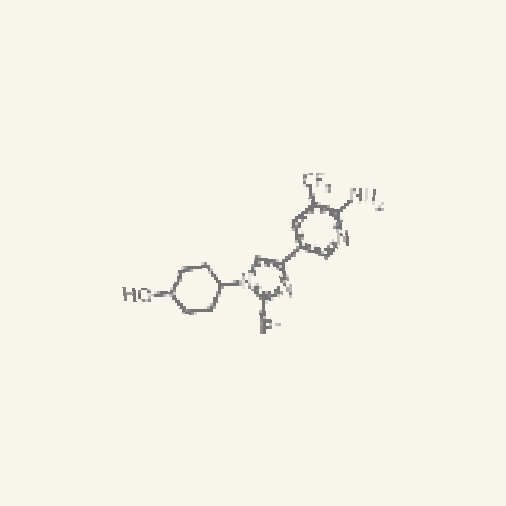 CC(C)c1nc(-c2cnc(N)c(C(F)(F)F)c2)cn1C1CCC(O)CC1